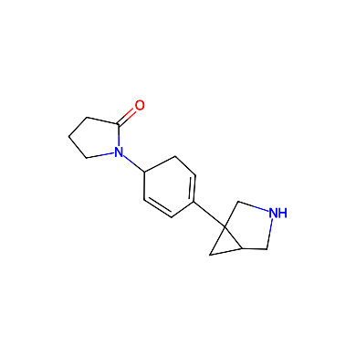 O=C1CCCN1C1C=CC(C23CNCC2C3)=CC1